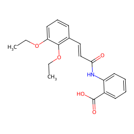 CCOc1cccc(C=CC(=O)Nc2ccccc2C(=O)O)c1OCC